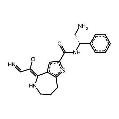 N=C/C(Cl)=C1\NCCCc2sc(C(=O)N[C@H](CN)c3ccccc3)cc21